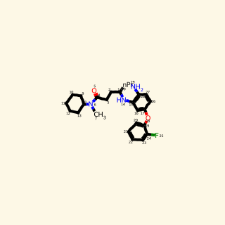 CCCC(CCC(=O)N(C)C1CCCCC1)Nc1cc(Oc2ccccc2F)ccc1N